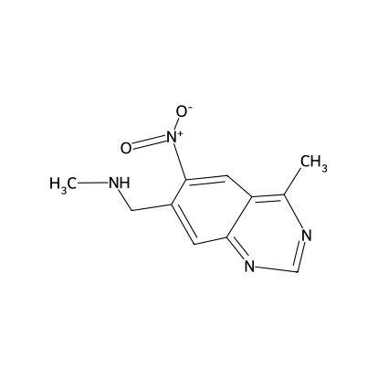 CNCc1cc2ncnc(C)c2cc1[N+](=O)[O-]